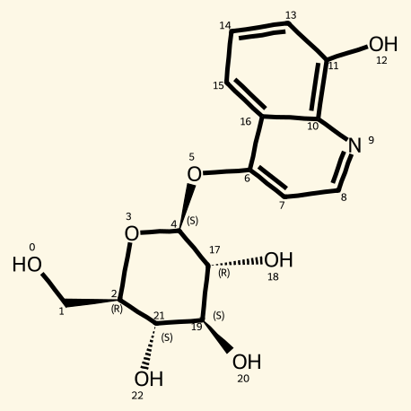 OC[C@H]1O[C@@H](Oc2ccnc3c(O)cccc23)[C@H](O)[C@@H](O)[C@@H]1O